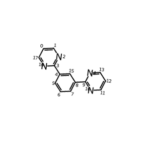 c1cnc(-c2cccc(-c3ncccn3)c2)nc1